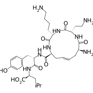 CC(C)C[C@H](NC(=O)[C@H](Cc1ccc(O)cc1)NC(=O)[C@@H]1C/C=C/C[C@H](N)C(=O)N[C@@H](CCN)C(=O)N[C@@H](CCCCN)C(=O)N1)C(=O)O